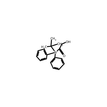 CC(C)(C)[N+](C(=O)CO)(c1ccccc1)c1ccccc1